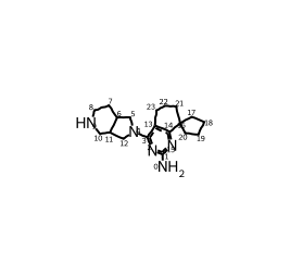 Nc1nc(N2CC3CCNCC3C2)c2c(n1)C1(CCCC1)CCC2